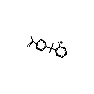 CC(=O)c1ccc(C(C)(C)c2ccccc2O)cc1